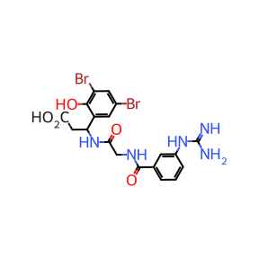 N=C(N)Nc1cccc(C(=O)NCC(=O)NC(CC(=O)O)c2cc(Br)cc(Br)c2O)c1